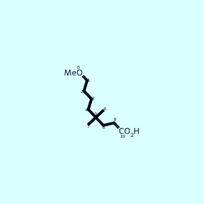 COCCCCC(C)(C)CCC(=O)O